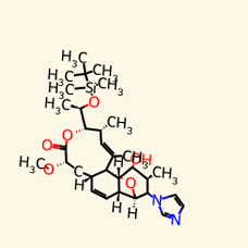 CO[C@H]1C[C@H]2C=C[C@@H]3[C@H]4[C@H](O)[C@@H](C)C(n5ccnc5)[C@@H]3O[C@]42/C(C)=C/[C@@H](C)[C@@H]([C@@H](C)O[Si](C)(C)C(C)(C)C)OC1=O